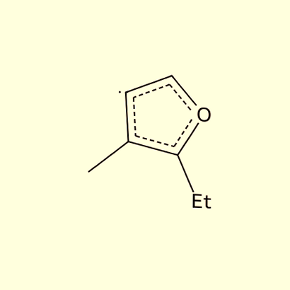 CCc1oc[c]c1C